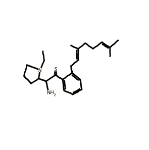 CCN1CCCC1C(N)C(=S)c1ccccc1C/C=C(\C)CCC=C(C)C